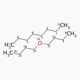 CCCCCCCC.CCCCOCCCC